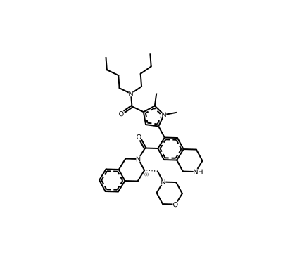 CCCCN(CCCC)C(=O)c1cc(-c2cc3c(cc2C(=O)N2Cc4ccccc4C[C@H]2CN2CCOCC2)CNCC3)n(C)c1C